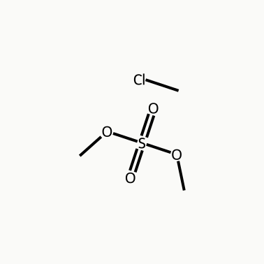 CCl.COS(=O)(=O)OC